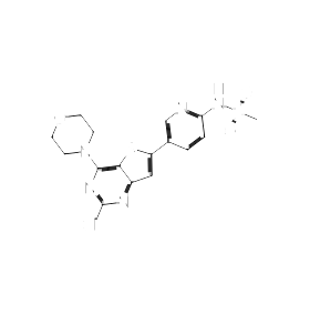 CS(=O)(=O)Nc1ccc(-c2cc3nc(Cl)nc(N4CCOCC4)c3s2)cn1